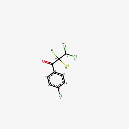 O=C(c1ccc(Cl)cc1)C(F)(S)C(Cl)Cl